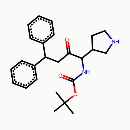 CC(C)(C)OC(=O)NC(C(=O)CC(c1ccccc1)c1ccccc1)C1CCNC1